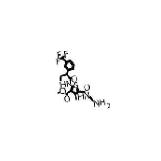 CCC(C(=O)Nc1sc(C(=O)NCCN)c(C)c1C(=O)OC)c1cccc(C(F)(F)F)c1